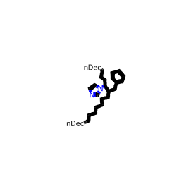 CCCCCCCCCCCCCCCCCC(Cc1ccccc1)C(CCCCCCCCCCCCC)n1ccnc1